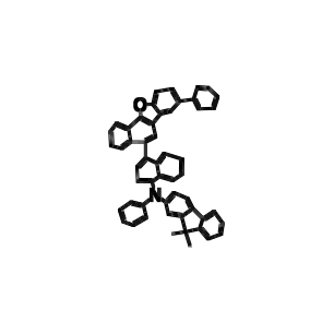 CC1(C)c2ccccc2-c2ccc(N(c3ccccc3)c3ccc(-c4cc5c6cc(-c7ccccc7)ccc6oc5c5ccccc45)c4ccccc34)cc21